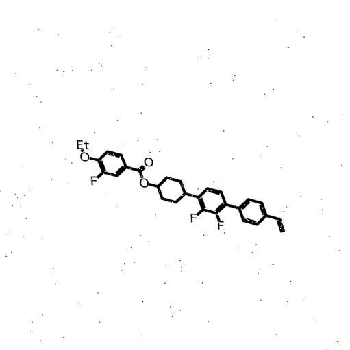 C=Cc1ccc(-c2ccc(C3CCC(OC(=O)c4ccc(OCC)c(F)c4)CC3)c(F)c2F)cc1